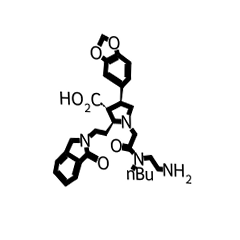 CCCCN(CCN)C(=O)CN1C[C@H](c2ccc3c(c2)OCO3)[C@@H](C(=O)O)[C@@H]1CCN1Cc2ccccc2C1=O